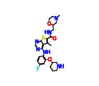 Cc1c(C(=O)NCC2CN(C)CCO2)sc2ncnc(Nc3ccc(F)cc3OC3CCCNC3)c12